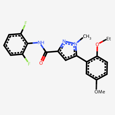 CCOc1ccc(OC)cc1-c1cc(C(=O)Nc2c(F)cccc2F)nn1C